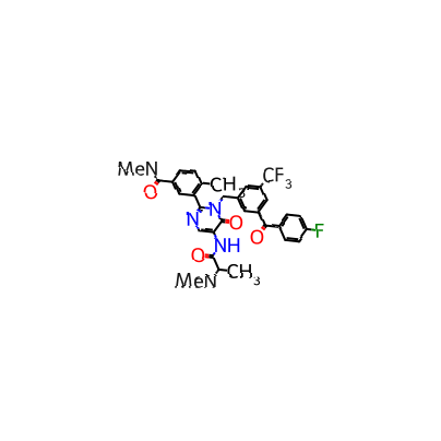 CNC(=O)c1ccc(C)c(-c2ncc(NC(=O)C(C)NC)c(=O)n2Cc2cc(C(=O)c3ccc(F)cc3)cc(C(F)(F)F)c2)c1